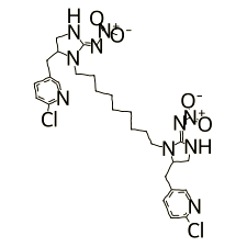 O=[N+]([O-])N=C1NCC(Cc2ccc(Cl)nc2)N1CCCCCCCCCN1C(=N[N+](=O)[O-])NCC1Cc1ccc(Cl)nc1